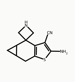 N#Cc1c(N)sc2c1C1(CNC1)C1CC1C2